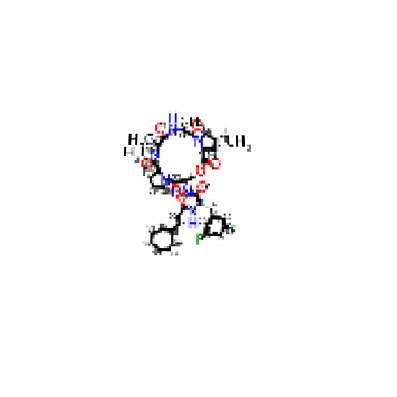 CC[C@@H]1C[C@H]2C(=O)OC[C@H](NC(=O)[C@H](Cc3cc(F)cc(F)c3)NC(=O)/C=C/C3CCCCCC3)C(=O)N3CCC[C@H]3C(=O)N(C)[C@@H](C)C(=O)N[C@@H](C)C(=O)N2C1